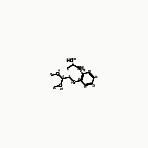 CCN.COC(CSc1ccccc1)OC.Cl